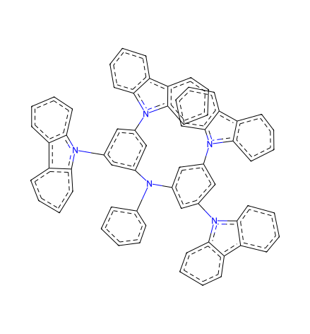 c1ccc(N(c2cc(-n3c4ccccc4c4ccccc43)cc(-n3c4ccccc4c4ccccc43)c2)c2cc(-n3c4ccccc4c4ccccc43)cc(-n3c4ccccc4c4ccccc43)c2)cc1